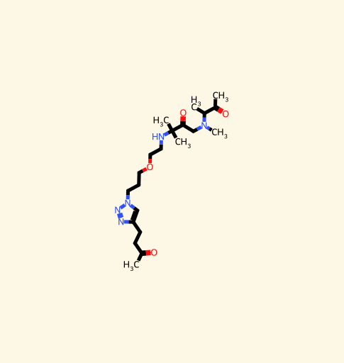 CC(=O)CCc1cn(CCCOCCNC(C)(C)C(=O)CN(C)C(C)C(C)=O)nn1